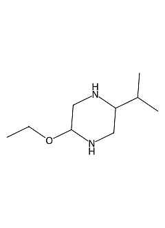 CCOC1CNC(C(C)C)CN1